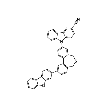 N#Cc1ccc2c(c1)c1ccccc1n2-c1ccc2c(c1)CSCc1ccc(-c3ccc4c(c3)oc3ccccc34)cc1-2